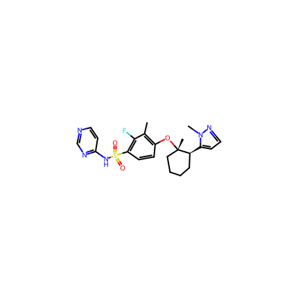 Cc1c(O[C@@]2(C)CCCC[C@@H]2c2ccnn2C)ccc(S(=O)(=O)Nc2ccncn2)c1F